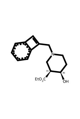 CCOC(=O)[C@H]1CN(CC2=Cc3ccccc32)CC[C@H]1O